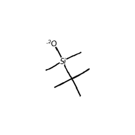 CC(C)(C)[Si](C)(C)[2O]